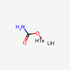 NC(=O)O[TeH].[LiH]